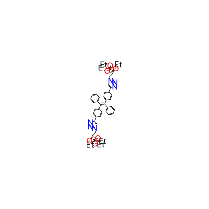 CCO[Si](CCn1cc(-c2ccc(/C(=C(\c3ccccc3)c3ccc(-c4cn(CC[Si](OCC)(OCC)OCC)nn4)cc3)c3ccccc3)cc2)nn1)(OCC)OCC